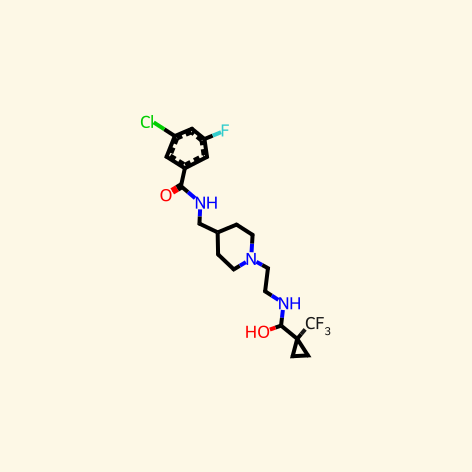 O=C(NCC1CCN(CCNC(O)C2(C(F)(F)F)CC2)CC1)c1cc(F)cc(Cl)c1